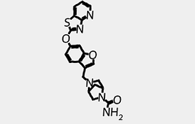 NC(=O)N1CC2CC1CN2Cc1coc2cc(Oc3nc4ncccc4s3)ccc12